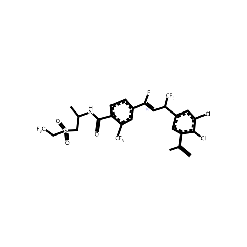 C=C(C)c1cc(C(/C=C(\F)c2ccc(C(=O)NC(C)CS(=O)(=O)CC(F)(F)F)c(C(F)(F)F)c2)C(F)(F)F)cc(Cl)c1Cl